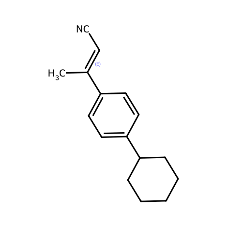 C/C(=C\C#N)c1ccc(C2CCCCC2)cc1